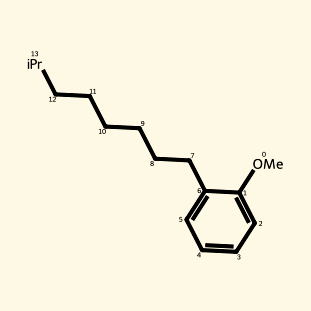 COc1ccccc1CCCCCCC(C)C